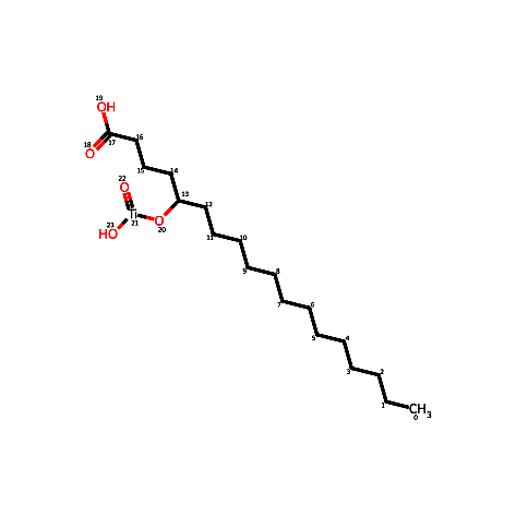 CCCCCCCCCCCCCC(CCCC(=O)O)[O][Ti](=[O])[OH]